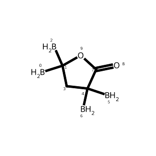 BC1(B)CC(B)(B)C(=O)O1